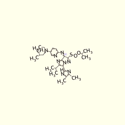 CCN(CC(C)C)c1ccc(/N=C2/C(SOOC(C)C)=Nn3c2nc(C(C)C)c3-c2nc(C)c(C)[nH]2)nc1